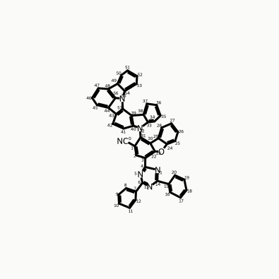 N#Cc1cc(-c2nc(-c3ccccc3)nc(-c3ccccc3)n2)c2oc3ccccc3c2c1-n1c2ccccc2c2c1ccc1c3cccc4c5ccccc5n(c43)c12